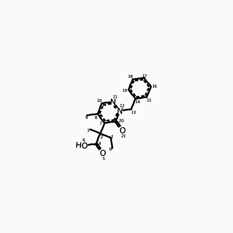 CCC(C)(C(=O)O)c1c(C)cnn(Cc2ccccc2)c1=O